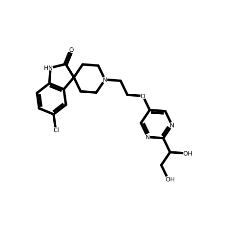 O=C1Nc2ccc(Cl)cc2C12CCN(CCOc1cnc(C(O)CO)nc1)CC2